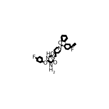 C#CC1(F)CC[C@@H](C(=O)N2CCC(O)(Cn3cnc(Oc4ccc(F)cc4)c(N)c3=O)CC2)[C@H](c2ccccc2)C1